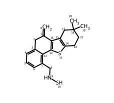 C=C1Cc2cccc(CNS)c2-c2sc3c(c21)CC(C)(C)CC3